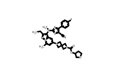 CCc1nn2c(C)cc(N3CC4(CN(C(=O)OC5CCOC5)C4)C3)cc2c1N(C)c1nc(-c2ccc(F)cc2)c(C#N)s1